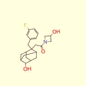 O=C(CC1(Cc2cccc(F)c2)C2CC3CC1CC(C2)C3O)N1CC(O)C1